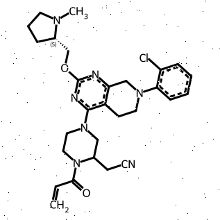 C=CC(=O)N1CCN(c2nc(OC[C@@H]3CCCN3C)nc3c2CCN(c2ccccc2Cl)C3)CC1CC#N